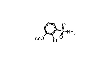 CCc1c(OC(C)=O)cccc1S(N)(=O)=O